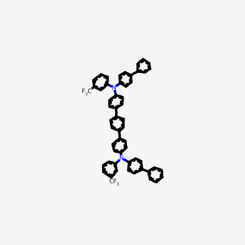 FC(F)(F)c1cccc(N(c2ccc(-c3ccccc3)cc2)c2ccc(-c3ccc(-c4ccc(N(c5ccc(-c6ccccc6)cc5)c5cccc(C(F)(F)F)c5)cc4)cc3)cc2)c1